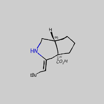 CC(C)(C)C=C1NC[C@@H]2CCC[C@@]12C(=O)O